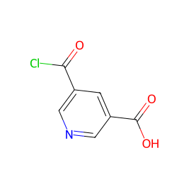 O=C(O)c1cncc(C(=O)Cl)c1